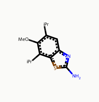 COc1c(C(C)C)cc2nc(N)sc2c1C(C)C